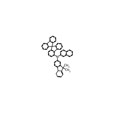 CC1(C)C2=CC=CCC2c2ccc(N(c3ccc4ccccc4c3)c3cccc4c3-c3ccccc3C43c4ccccc4-c4ccccc43)cc21